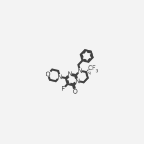 O=c1c(F)c(N2CCOCC2)nc2n1CC[C@@H](C(F)(F)F)N2Cc1ccccc1